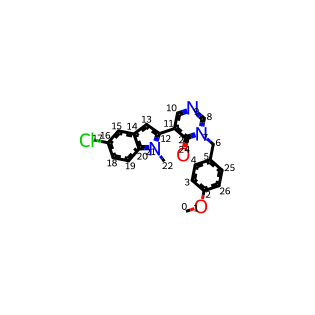 COc1ccc(Cn2cncc(-c3cc4cc(Cl)ccc4n3C)c2=O)cc1